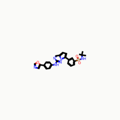 CC(C)(C)NS(=O)(=O)c1cccc(-c2ccc3cnc(Nc4ccc(-c5cnco5)cc4)nn23)c1